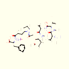 CC[C@H](C)[C@@H]([C@@H](CC(=O)N1CCC[C@H]1[C@H](OC)[C@@H](C)C(=O)N[C@@H](Cc1ccccc1)C(=O)O)OC)N(C)C(=O)[C@@H](NC(=O)[C@H](C(C)C)N(C)C(=O)[C@@H](N)C(C)C)C(C)C